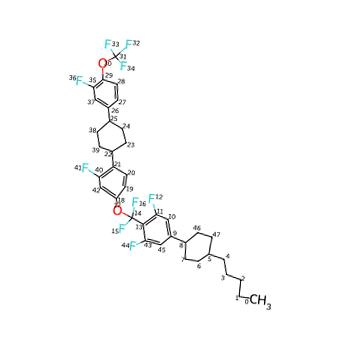 CCCCCC1CCC(c2cc(F)c(C(F)(F)Oc3ccc(C4CCC(c5ccc(OC(F)(F)F)c(F)c5)CC4)c(F)c3)c(F)c2)CC1